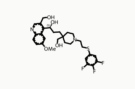 COc1ccc2ncc(CO)c([C@@H](O)CCC3(CO)CCN(CCSc4cc(F)c(F)c(F)c4)CC3)c2c1